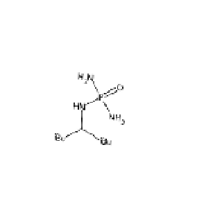 CCC(C)C(NP(N)(N)=O)C(C)CC